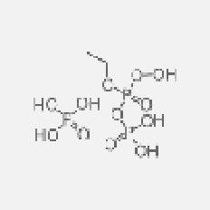 CCOP(=O)(OO)OP(=O)(O)O.O=P(O)(O)O